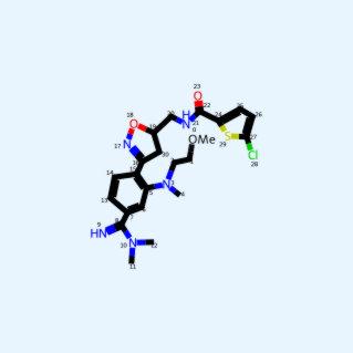 COCCN(C)c1cc(C(=N)N(C)C)ccc1C1=NOC(CNC(=O)c2ccc(Cl)s2)C1